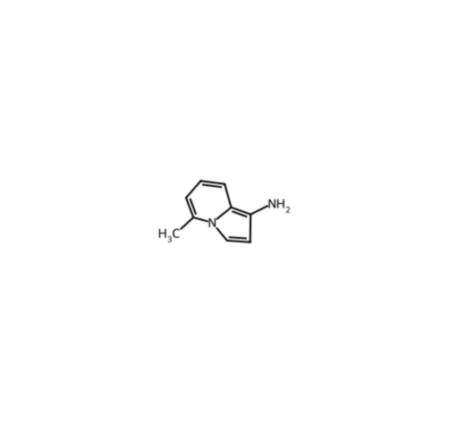 Cc1cccc2c(N)ccn12